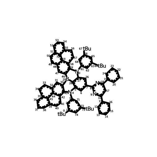 CC(C)(C)c1cc(N2c3cc(-c4nc(-c5ccccc5)cc(-c5ccccc5)n4)cc4c3B(c3cc5ccc6cccc7ccc(c32)c5c67)c2cc3ccc5cccc6ccc(c2N4c2cc(C(C)(C)C)cc(C(C)(C)C)c2)c3c56)cc(C(C)(C)C)c1